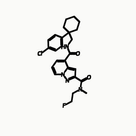 CN(CCF)C(=O)c1cc2c(C(=O)NCC3(c4ccc(Cl)cc4)CCCCC3)cccn2n1